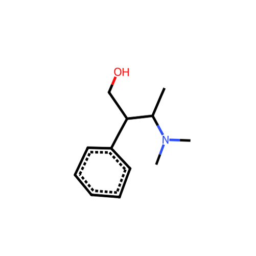 CC(C(CO)c1ccccc1)N(C)C